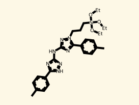 CCO[Si](CCCn1nc(Nc2n[nH]c(-c3ccc(C)cc3)n2)nc1-c1ccc(C)cc1)(OCC)OCC